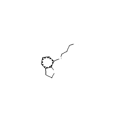 CCCCNc1cccc2c1OCC2